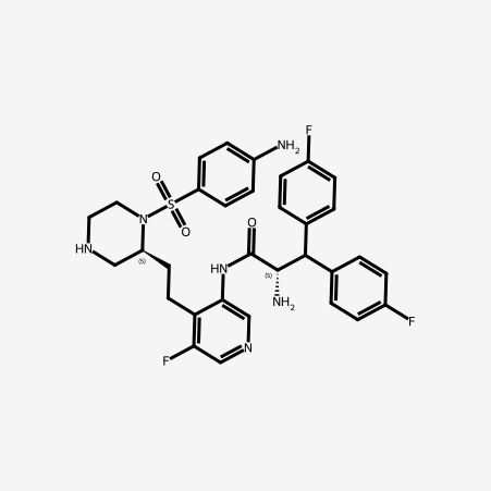 Nc1ccc(S(=O)(=O)N2CCNC[C@@H]2CCc2c(F)cncc2NC(=O)[C@@H](N)C(c2ccc(F)cc2)c2ccc(F)cc2)cc1